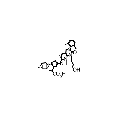 Cc1cccc(C)c1N1Cc2cnc(Nc3ccc(N4CCN(C)CC4)c(C(C)C(=O)O)c3)nc2N(CCCCO)C1=O